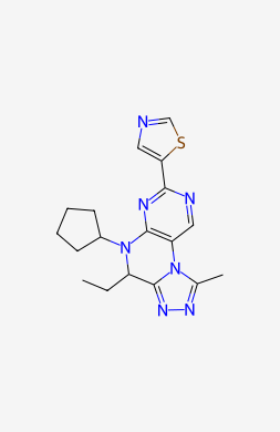 CCC1c2nnc(C)n2-c2cnc(-c3cncs3)nc2N1C1CCCC1